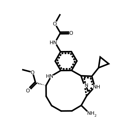 COC(=O)Nc1ccc2c(c1)N[C@@H](C(=O)OC)CCCCC(N)c1nc-2c(C2CC2)[nH]1